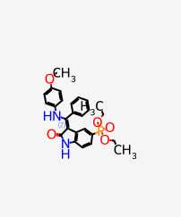 CCOP(=O)(OCC)c1ccc2c(c1)/C(=C(/Nc1ccc(OC)cc1)c1ccccc1)C(=O)N2